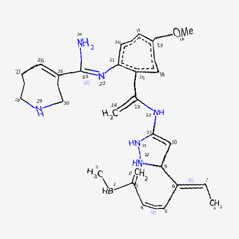 C=C(BC)/C=C\C(=C/C)C1C=C(NC(=C)c2cc(OC)ccc2/N=C(\N)C2=CCCNC2)NN1